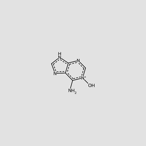 Nc1c2nc[nH]c2nc[n+]1O